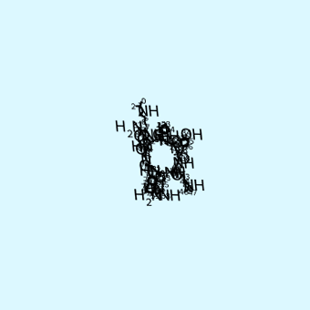 CC(C)NCCCC[C@H](NC(=O)C1CC(=O)N[C@@H](Cc2ccccc2)C(=O)N[C@@H](Cc2ccc(O)cc2)C(=O)N[C@@H](CCCCNC(C)C)C(=O)N[C@H](CCCNC(=N)N)C(=O)N[C@@H](Cc2ccc3ccccc3c2)C(=O)NCC(=O)N1)C(N)=O